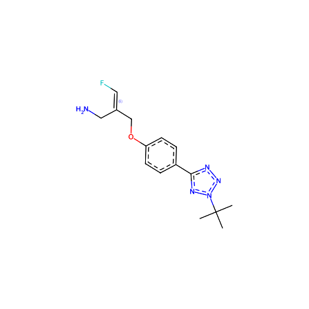 CC(C)(C)n1nnc(-c2ccc(OC/C(=C/F)CN)cc2)n1